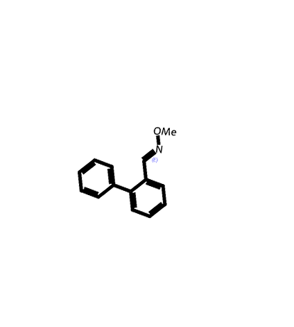 CO/N=C/c1ccccc1-c1ccccc1